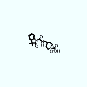 CC1(C)C(=O)N(C(=O)NCC2CC[N+]([O-])(C(=O)O)CC2)c2ccccc21